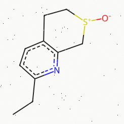 CCc1ccc2c(n1)C[S+]([O-])CC2